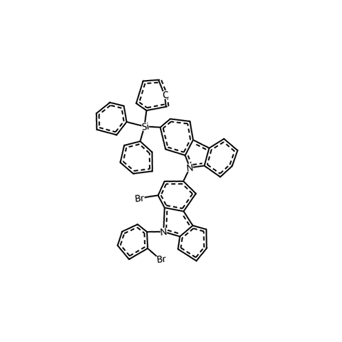 Brc1ccccc1-n1c2ccccc2c2cc(-n3c4ccccc4c4ccc([Si](c5ccccc5)(c5ccccc5)c5ccccc5)cc43)cc(Br)c21